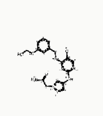 N#CCOc1cccc(CNc2nc(Nc3cnn(CC(N)=O)c3)ncc2Cl)c1